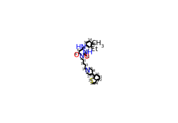 CCc1cc(Nc2cc(=O)n(CCCCCN3CC=C(c4cccc5ccsc45)CC3)c(=O)[nH]2)ccc1C